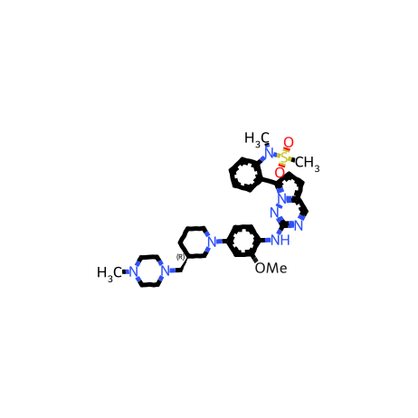 COc1cc(N2CCC[C@H](CN3CCN(C)CC3)C2)ccc1Nc1ncc2ccc(-c3ccccc3N(C)S(C)(=O)=O)n2n1